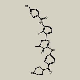 Cn1cc(-c2cccc(NC(=O)c3ccc(C(C)(C)C)nc3)c2F)nc(Nc2ccc(C(=O)N3CCNCC3)cc2)c1=O